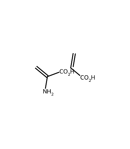 C=C(N)C(=O)O.C=CC(=O)O